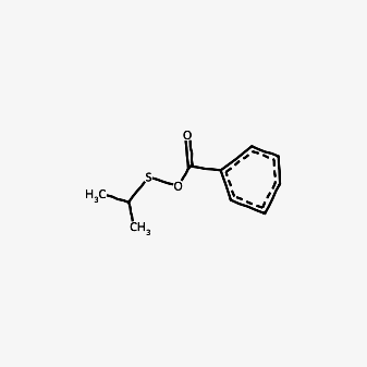 CC(C)SOC(=O)c1ccccc1